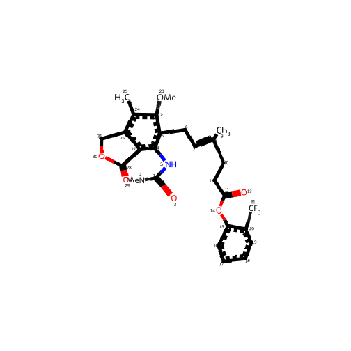 CNC(=O)Nc1c(C/C=C(\C)CCC(=O)Oc2ccccc2C(F)(F)F)c(OC)c(C)c2c1C(=O)OC2